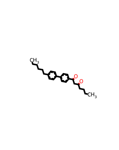 CCCCCCc1ccc(-c2ccc(C(=O)CC(=O)CCCC)cc2)cc1